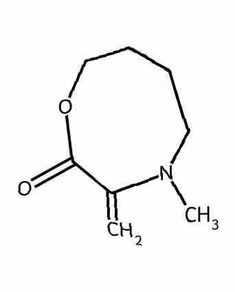 C=C1C(=O)OCCCCN1C